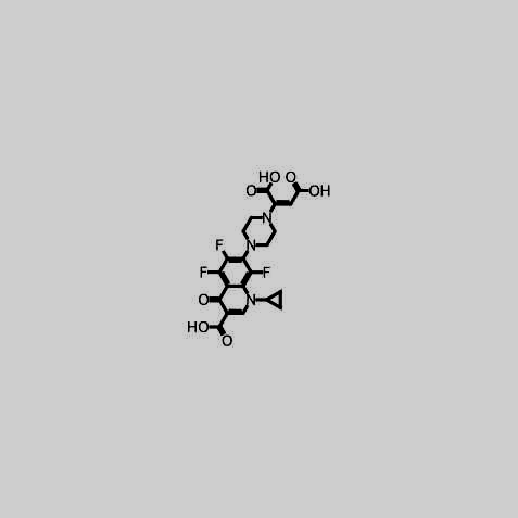 O=C(O)C=C(C(=O)O)N1CCN(c2c(F)c(F)c3c(=O)c(C(=O)O)cn(C4CC4)c3c2F)CC1